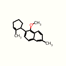 COc1c(C2CCCC=C2C)ccc2cc(C)ccc12